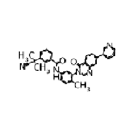 Cc1ccc(NC(=O)c2cccc(C(C)(C)C#N)c2)cc1-n1cnc2cc(-c3cccnc3)ccc2c1=O